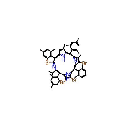 C=C(C)/C=C(C)\C(=C\C)c1c2nc(c(-c3c(C)cccc3C)c3[nH]c(c(Br)c3Br)c(C3=C(C)C=C(C)CC3)c(C(=C)C)nc(C)c(-c3c(C)cc(C)cc3Br)c3cc(C)c1[nH]3)C(Br)=C2C